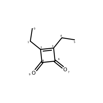 CCc1c(CC)c(=O)c1=O